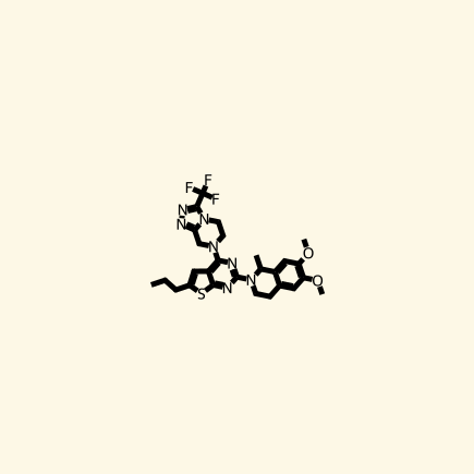 CCCc1cc2c(N3CCn4c(nnc4C(F)(F)F)C3)nc(N3CCc4cc(OC)c(OC)cc4C3C)nc2s1